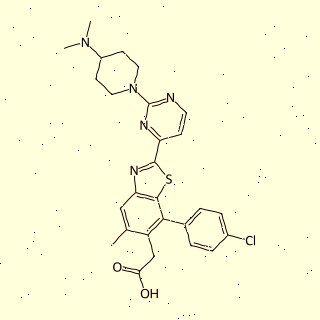 Cc1cc2nc(-c3ccnc(N4CCC(N(C)C)CC4)n3)sc2c(-c2ccc(Cl)cc2)c1CC(=O)O